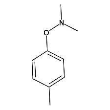 Cc1ccc(ON(C)C)cc1